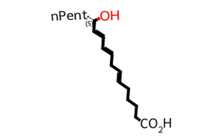 CCCCC[C@H](O)C=CC=CCC=CCCCCC(=O)O